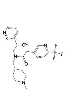 CN1CCC(CN(C[C@@H](O)c2cccnc2)C(=O)Cc2ccc(C(F)(F)F)nc2)CC1